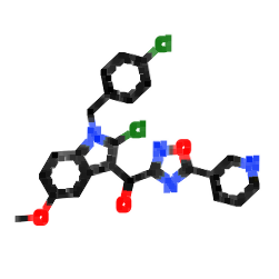 COc1ccc2c(c1)c(C(=O)c1noc(-c3cccnc3)n1)c(Cl)n2Cc1ccc(Cl)cc1